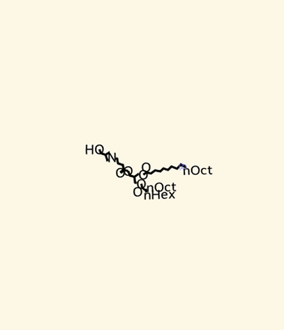 CCCCCCCC/C=C\CCCCCCCC(=O)OCC(COC(=O)CCCN1CC(CO)C1)COC(=O)C(CCCCCC)CCCCCCCC